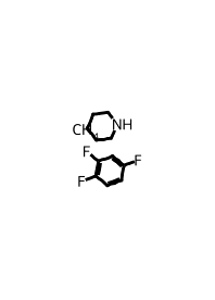 C.C1CCNCC1.Fc1ccc(F)c(F)c1